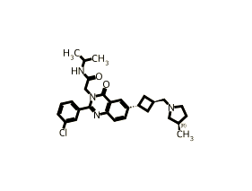 CC(C)NC(=O)Cn1c(-c2cccc(Cl)c2)nc2ccc([C@H]3C[C@H](CN4CC[C@@H](C)C4)C3)cc2c1=O